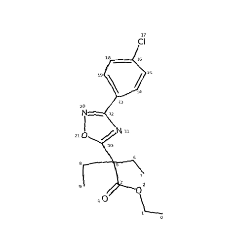 CCOC(=O)C(CC)(CC)c1nc(-c2ccc(Cl)cc2)no1